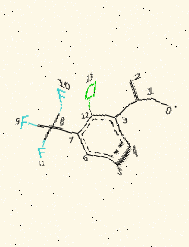 [CH2]C(C)c1cccc(C(F)(F)F)c1Cl